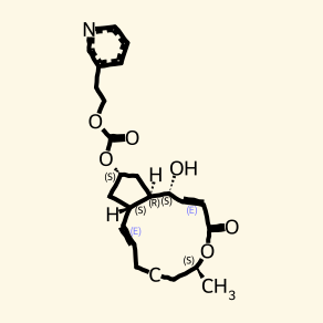 C[C@H]1CCC/C=C/[C@@H]2C[C@H](OC(=O)OCCc3cccnc3)C[C@H]2[C@H](O)/C=C/C(=O)O1